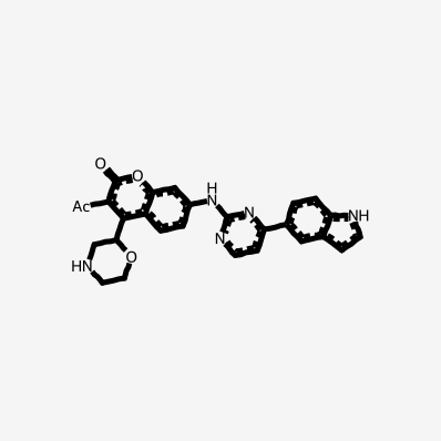 CC(=O)c1c(C2CNCCO2)c2ccc(Nc3nccc(-c4ccc5[nH]ccc5c4)n3)cc2oc1=O